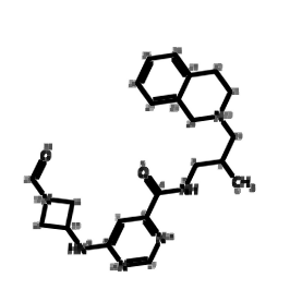 CC(CNC(=O)c1cc(NC2CN(C=O)C2)ncn1)CN1CCc2ccccc2C1